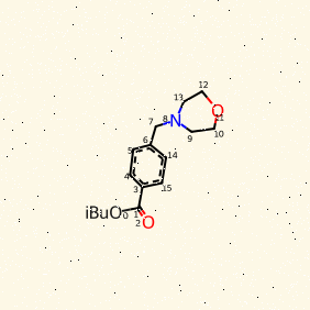 CC(C)COC(=O)c1ccc(CN2CCOCC2)cc1